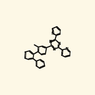 Cc1cc(-c2nc(-c3ccccn3)nc(-c3ccccn3)n2)ccc1-c1ccccc1-c1ccccc1